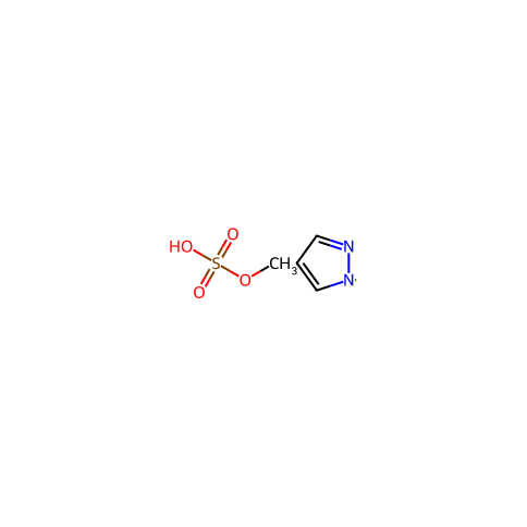 C1=C[N]N=C1.COS(=O)(=O)O